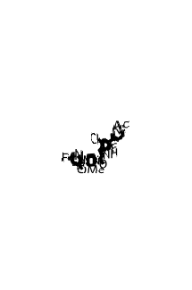 COc1cc(F)cnc1N1CCN(C(=O)c2cc3c(Cl)cc(C4=CCCN(C(C)=O)C4)c(F)c3[nH]2)CC1